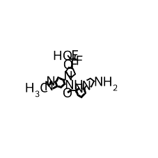 Cn1cc2cc(NC(=O)c3cccc(N4CC[C@H](N)C4)n3)c(N3CCCCC3)cc2n1.O=C(O)C(F)(F)F